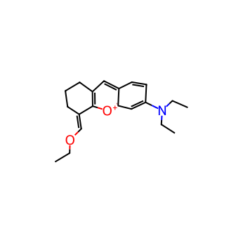 CCOC=C1CCCc2cc3ccc(N(CC)CC)cc3[o+]c21